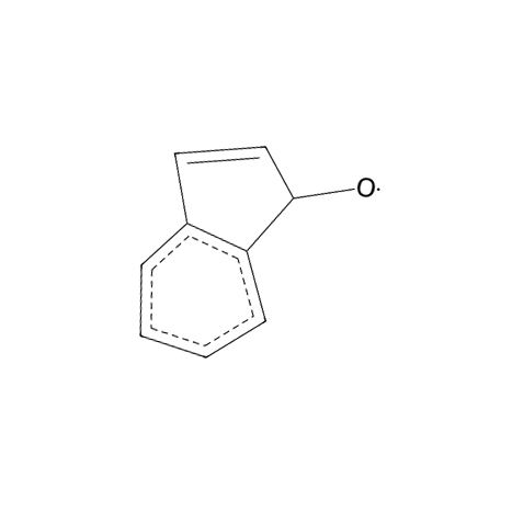 [O]C1C=Cc2ccccc21